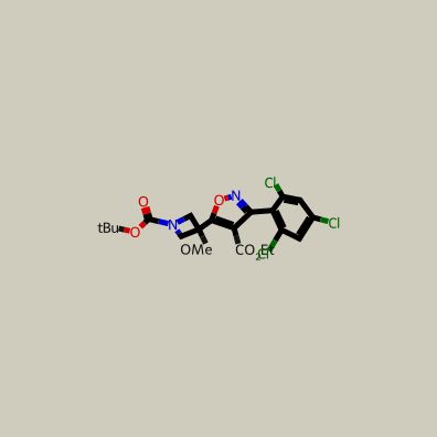 CCOC(=O)c1c(-c2c(Cl)cc(Cl)cc2Cl)noc1C1(OC)CN(C(=O)OC(C)(C)C)C1